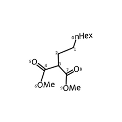 CCCCCCCCC(C(=O)OC)C(=O)OC